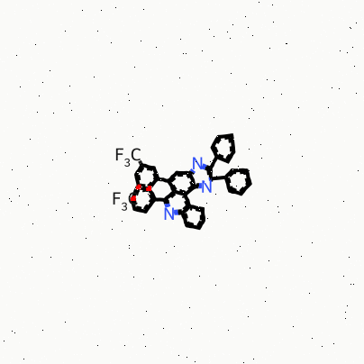 FC(F)(F)c1cc(-c2cc3nc(-c4ccccc4)c(-c4ccccc4)nc3c3c2c(-c2ccccc2)nc2ccccc23)cc(C(F)(F)F)c1